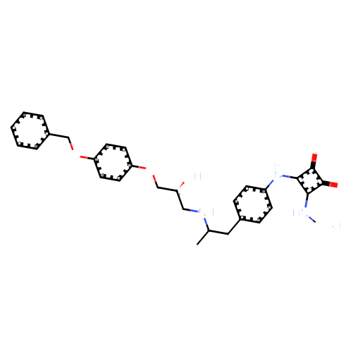 CCCCCCCCNc1c(Nc2ccc(CC(C)NC[C@H](O)COc3ccc(OCc4ccccc4)cc3)cc2)c(=O)c1=O